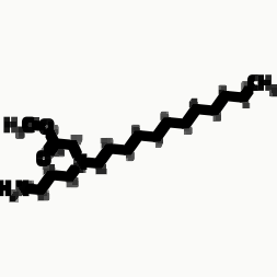 CCCCCCCCCCCCN(CCCN)CC(=O)OC